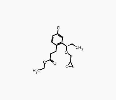 CCOC(=O)CCc1ccc(Cl)cc1[C@@H](CC)OC[C@H]1CO1